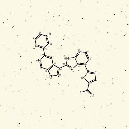 CC(=O)c1ccc(-c2ccnc3[nH]c(-c4n[nH]c5cnc(-c6cnccn6)cc45)nc23)s1